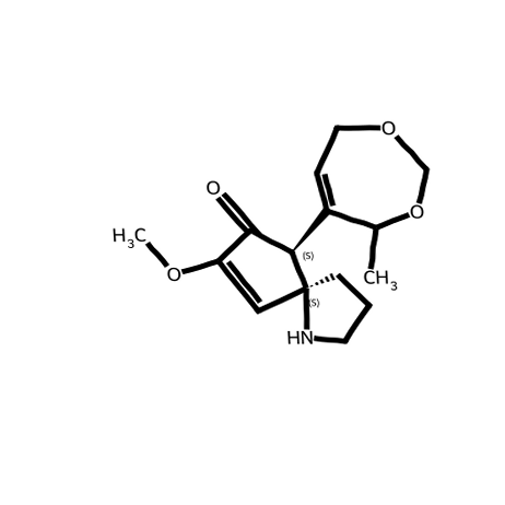 COC1=C[C@@]2(CCCN2)[C@H](C2=CCOCOC2C)C1=O